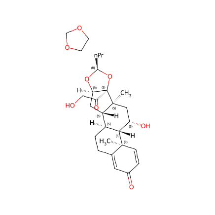 C1COCO1.CCC[C@@H]1O[C@@H]2C[C@H]3[C@@H]4CCC5=CC(=O)C=C[C@]5(C)[C@H]4[C@@H](O)C[C@]3(C)[C@]2(C(=O)CO)O1